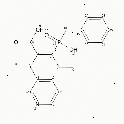 CCC(C(C(=O)O)C(C)c1cccnc1)P(=O)(O)Cc1ccccc1